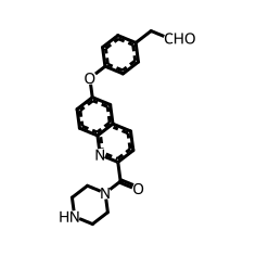 O=CCc1ccc(Oc2ccc3nc(C(=O)N4CCNCC4)ccc3c2)cc1